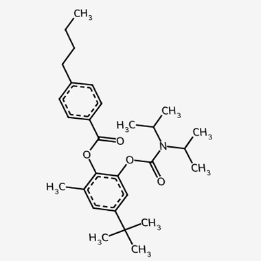 CCCCc1ccc(C(=O)Oc2c(C)cc(C(C)(C)C)cc2OC(=O)N(C(C)C)C(C)C)cc1